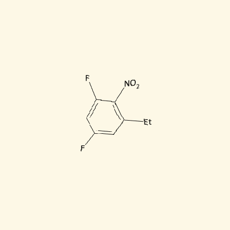 CCc1cc(F)cc(F)c1[N+](=O)[O-]